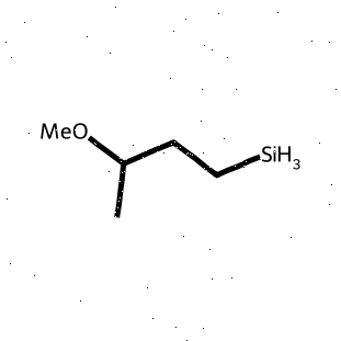 COC(C)CC[SiH3]